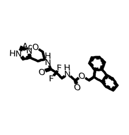 CC(=O)OCC(Cc1c[nH]cn1)NC(=O)C(F)(F)CNC(=O)OCC1c2ccccc2-c2ccccc21